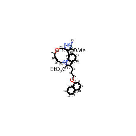 CCOC(=O)c1c(CCCOc2cccc3ccccc23)c2cccc3c2n1C/C=C\COCc1nn(C)c(OC)c1-3